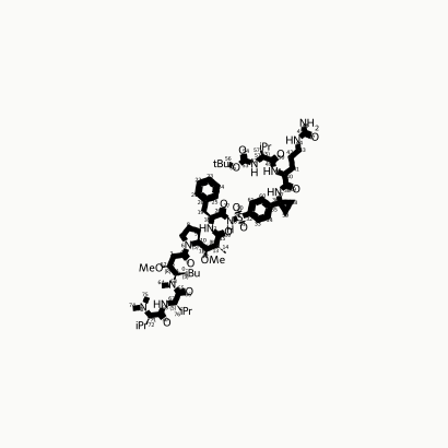 CC[C@H](C)[C@@H]([C@@H](CC(=O)N1CCC[C@H]1[C@H](OC)[C@@H](C)C(=O)N[C@@H](Cc1ccccc1)C(=O)NS(=O)(=O)c1ccc(C2(NC(=O)C(CCCNC(N)=O)NC(=O)[C@@H](NC(=O)OC(C)(C)C)C(C)C)CC2)cc1)OC)N(C)C(=O)[C@@H](NC(=O)[C@H](C(C)C)N(C)C)C(C)C